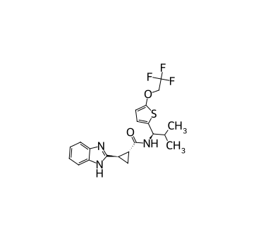 CC(C)[C@@H](NC(=O)[C@@H]1C[C@H]1c1nc2ccccc2[nH]1)c1ccc(OCC(F)(F)F)s1